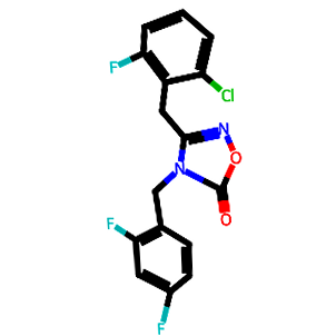 O=c1onc(Cc2c(F)cccc2Cl)n1Cc1ccc(F)cc1F